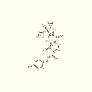 O=C(NCc1ccc(Cl)cc1)c1ccc2n(c1=O)CCN(CC1(S(=O)(=O)C3CNC3)CC1)C2=O